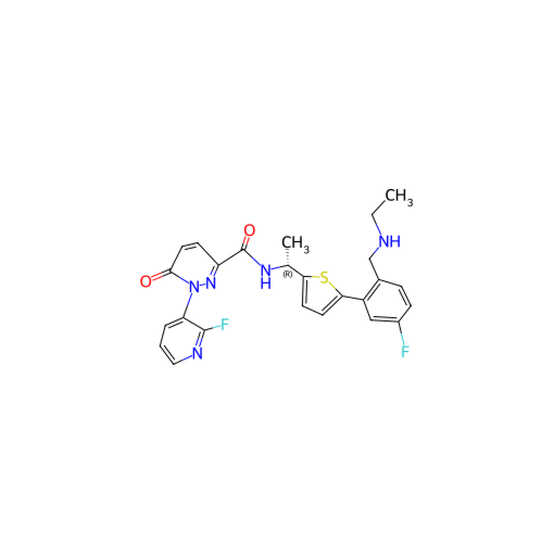 CCNCc1ccc(F)cc1-c1ccc([C@@H](C)NC(=O)c2ccc(=O)n(-c3cccnc3F)n2)s1